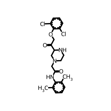 Cc1cccc(C)c1NC(=O)CN1CCNC(C(=O)COc2c(Cl)cccc2Cl)C1